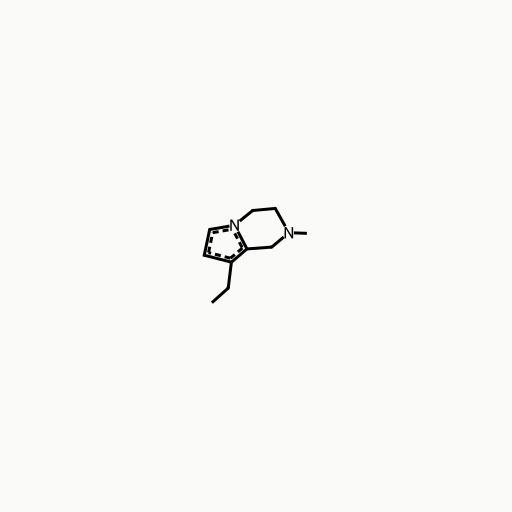 CCc1ccn2c1CN(C)CC2